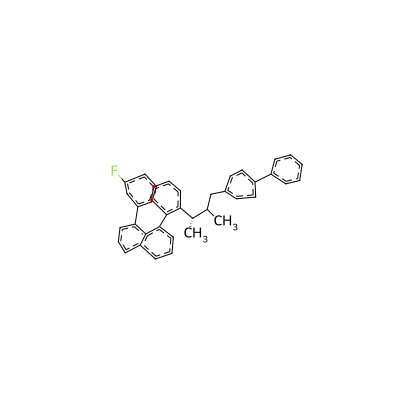 CC(Cc1ccc(-c2ccccc2)cc1)[C@H](C)c1ccccc1-c1cccc2cccc(-c3cccc(F)c3)c12